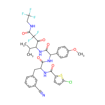 COc1ccc(C(NC(=O)C(Cc2cccc(C#N)c2)NC(=O)c2ccc(Cl)s2)C(=O)NC(C(=O)C(F)(F)C(=O)NCC(F)(F)F)C(C)C)cc1